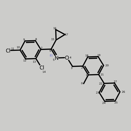 Cc1c(CO/N=C(/c2ccc(Cl)cc2Cl)C2CC2)cccc1-c1ccccc1